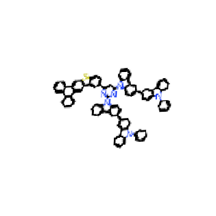 c1ccc(-n2c3ccccc3c3cc(-c4ccc5c(c4)c4ccccc4n5-c4cc(-c5ccc6sc7cc8c9ccccc9c9ccccc9c8cc7c6c5)nc(-n5c6ccccc6c6cc(-c7ccc8c(c7)c7ccccc7n8-c7ccccc7)ccc65)n4)ccc32)cc1